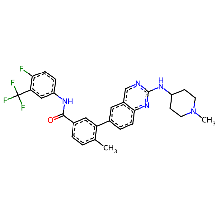 Cc1ccc(C(=O)Nc2ccc(F)c(C(F)(F)F)c2)cc1-c1ccc2nc(NC3CCN(C)CC3)ncc2c1